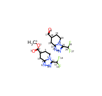 COC(=O)C1CCn2c(nnc2C(F)F)C1.O=CC1CCn2c(nnc2C(F)F)C1